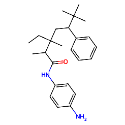 CCC(C)(CC(c1ccccc1)C(C)(C)C)C(C)C(=O)Nc1ccc(N)cc1